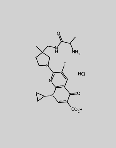 CC(N)C(=O)NCC1(C)CCN(c2nc3c(cc2F)c(=O)c(C(=O)O)cn3C2CC2)C1.Cl